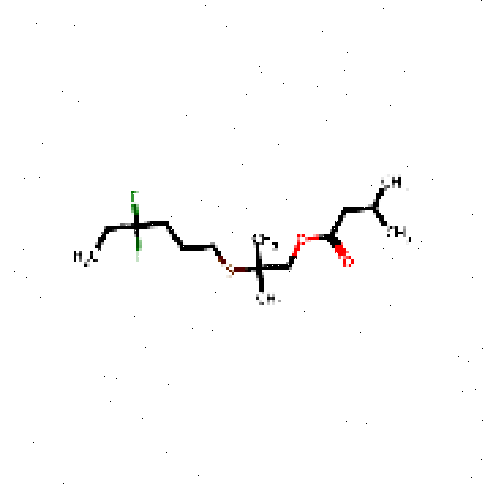 CCC(F)(F)CCCSC(C)(C)COC(=O)CC(C)C